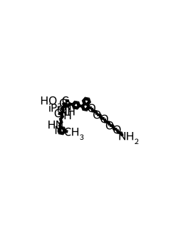 Cc1ccnc(NCCCC(=O)NC(C(=O)N[C@@H](CC(=O)O)c2ccc(-c3ccc(OCCOCCOCCOCCOCCN)c4ccccc34)cc2)C(C)C)c1